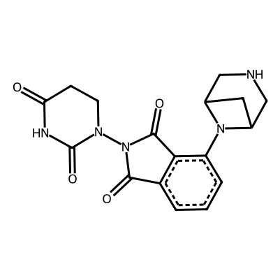 O=C1CCN(N2C(=O)c3cccc(N4C5CNCC4C5)c3C2=O)C(=O)N1